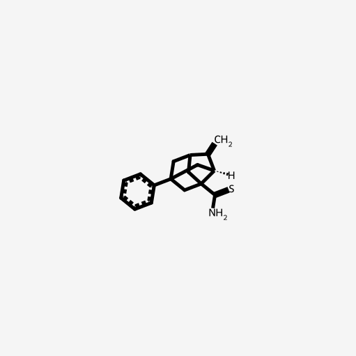 C=C1C2CC3(c4ccccc4)C[C@@H]1C(C(N)=S)(C2)C3